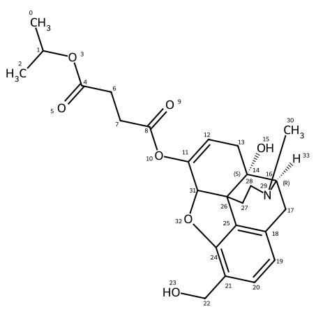 CC(C)OC(=O)CCC(=O)OC1=CC[C@@]2(O)[C@H]3Cc4ccc(CO)c5c4C2(CCN3C)C1O5